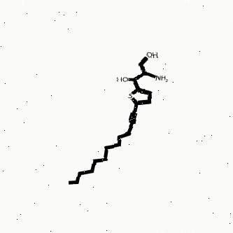 CCCCCCCCCCC#Cc1ccc(C(O)C(N)CO)s1